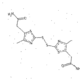 Cc1nc(SSc2nc(C)c(CC(N)=O)s2)sc1CC(N)=O